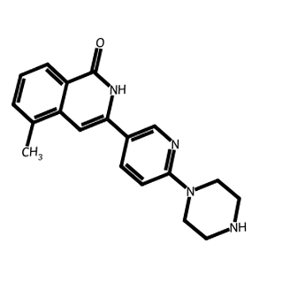 Cc1cccc2c(=O)[nH]c(-c3ccc(N4CCNCC4)nc3)cc12